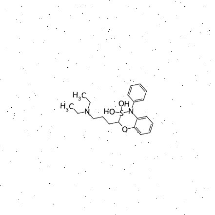 CCN(CC)CCCC1Oc2ccccc2N(c2ccccc2)S1(O)O